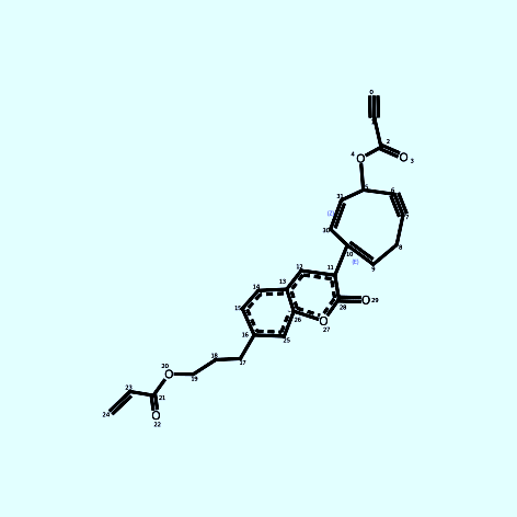 C#CC(=O)OC1C#CC/C=C(c2cc3ccc(CCCOC(=O)C=C)cc3oc2=O)\C=C/1